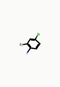 CCc1cc(Br)ccc1I